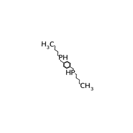 CCCCCPCc1ccc(CPCCCCC)cc1